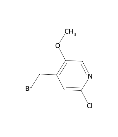 COc1cnc(Cl)cc1CBr